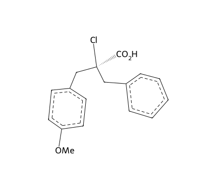 COc1ccc(C[C@@](Cl)(Cc2ccccc2)C(=O)O)cc1